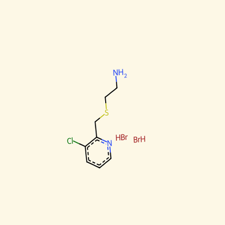 Br.Br.NCCSCc1ncccc1Cl